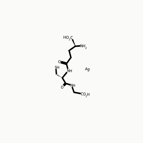 N[C@@H](CCC(=O)N[C@@H](CS)C(=O)NCC(=O)O)C(=O)O.[Ag]